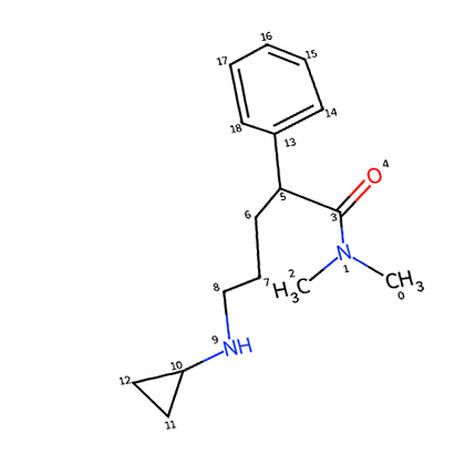 CN(C)C(=O)C(CCCNC1CC1)c1ccccc1